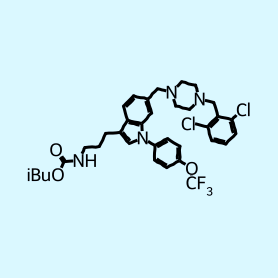 CC(C)COC(=O)NCCCc1cn(-c2ccc(OC(F)(F)F)cc2)c2cc(CN3CCN(Cc4c(Cl)cccc4Cl)CC3)ccc12